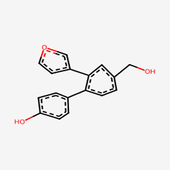 OCc1ccc(-c2ccc(O)cc2)c(-c2ccoc2)c1